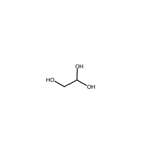 OCC(O)O